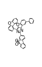 O=S1(=O)c2ccccc2-c2ccc(-c3nc(-c4cccc5oc6ccccc6c45)c4oc5ccc(-c6ccccc6)cc5c4n3)cc21